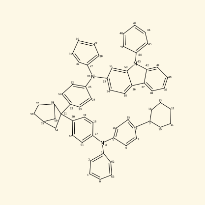 c1ccc(N(c2ccc(C3CCCCC3)cc2)c2ccc(C3(c4ccc(N(c5ccccc5)c5ccc6c7ccccc7n(-c7ccccc7)c6c5)cc4)CC4CCC3C4)cc2)cc1